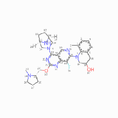 Cc1cccc2c1N(c1ncc3c(N4C[C@H]5CC[C@@H](C4)N5)nc(OC[C@@H]4CCCN4C)nc3c1F)CC(O)C2